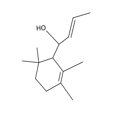 C/C=C/C(O)C1C(C)=C(C)CCC1(C)C